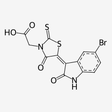 O=C(O)CN1C(=O)/C(=C2\C(=O)Nc3ccc(Br)cc32)SC1=S